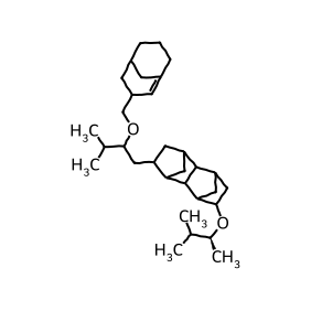 CC(C)C(CC1CC2CC1C1C3CC(CC3O[C@@H](C)C(C)C)C21)OCC1C=C2CCCC(C2)C1